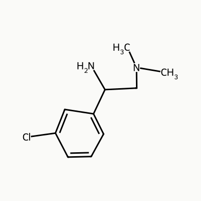 CN(C)CC(N)c1cccc(Cl)c1